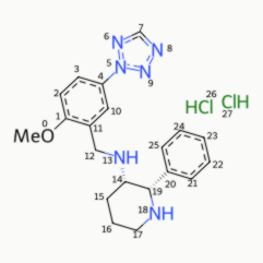 COc1ccc(-n2ncnn2)cc1CN[C@H]1CCCN[C@H]1c1ccccc1.Cl.Cl